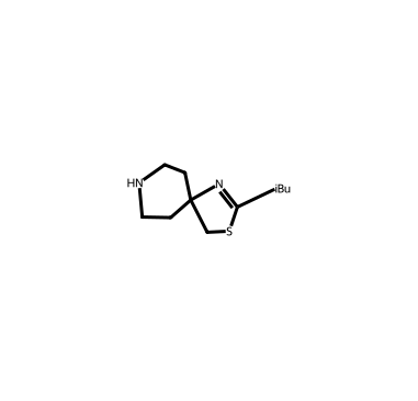 CCC(C)C1=NC2(CCNCC2)CS1